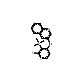 C[Si](C)(C)c1c(Oc2cnc3ccccc3c2)ccnc1F